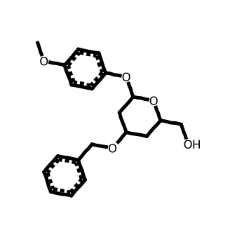 COc1ccc(OC2CC(OCc3ccccc3)CC(CO)O2)cc1